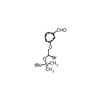 CC(C)(C)[Si](C)(C)OC(Br)COc1cccc(C=O)c1